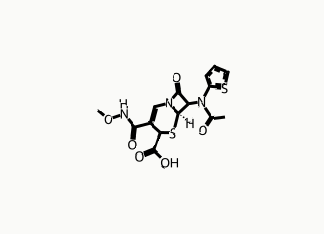 CONC(=O)C1=CN2C(=O)C(N(C(C)=O)c3cccs3)[C@H]2SC1C(=O)O